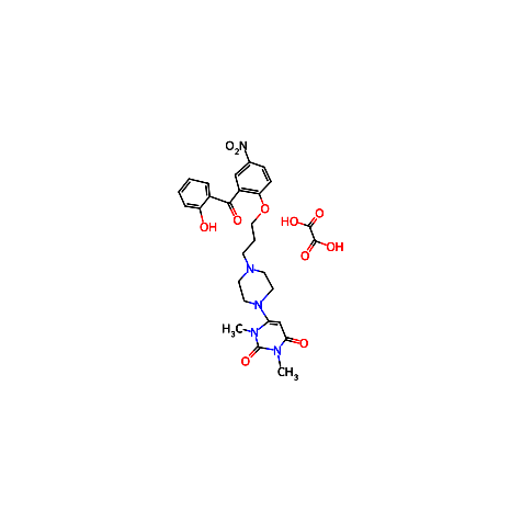 Cn1c(N2CCN(CCCOc3ccc([N+](=O)[O-])cc3C(=O)c3ccccc3O)CC2)cc(=O)n(C)c1=O.O=C(O)C(=O)O